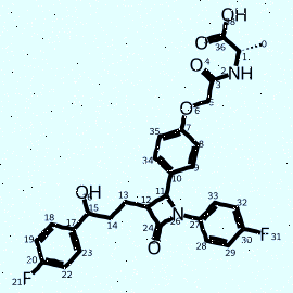 C[C@H](NC(=O)COc1ccc(C2C(CCC(O)c3ccc(F)cc3)C(=O)N2c2ccc(F)cc2)cc1)C(=O)O